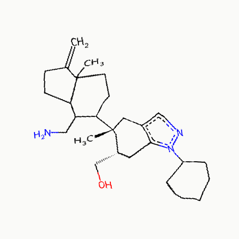 C=C1CCC2C(CN)C([C@]3(C)Cc4cnn(C5CCCCC5)c4C[C@@H]3CO)CCC12C